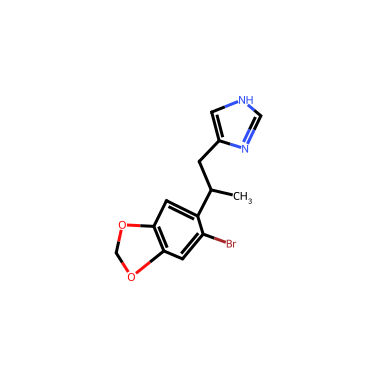 CC(Cc1c[nH]cn1)c1cc2c(cc1Br)OCO2